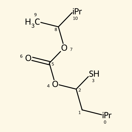 CC(C)CC(S)OC(=O)OC(C)C(C)C